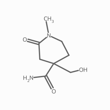 CN1CCC(CO)(C(N)=O)CC1=O